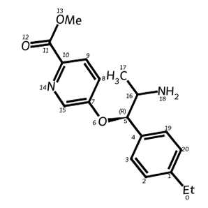 CCc1ccc([C@@H](Oc2ccc(C(=O)OC)nc2)C(C)N)cc1